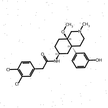 CO[C@]12CC[C@H](NC(=O)Cc3ccc(Cl)c(Cl)c3)C[C@]1(c1cccc(O)c1)CCN(C)C2